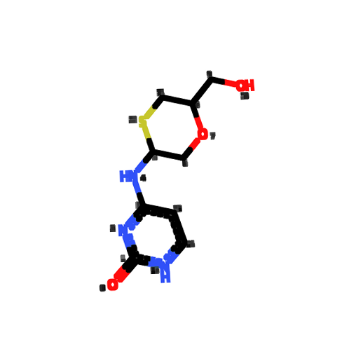 O=c1nc(NC2COC(CO)CS2)cc[nH]1